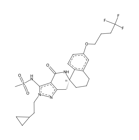 CS(=O)(=O)Nc1c2c(nn1CCC1CC1)C[C@]1(CCCc3cc(OCCCC(F)(F)F)ccc31)NC2=O